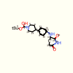 CC(C)(C)OC(O)N1CCC(c2ccc(NC3CCC(=O)NC3=O)cc2)CC1